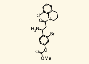 COC(=O)Oc1ccc(C(N)CC(=O)N2CCCc3cccc(Cl)c32)c(Br)c1